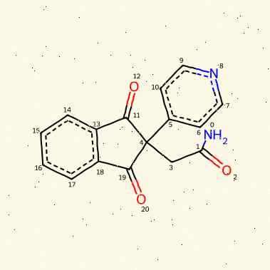 NC(=O)CC1(c2ccncc2)C(=O)c2ccccc2C1=O